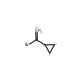 C=C(Br)C1CC1